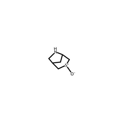 [O-][S+]1CC2CNC(C2)C1